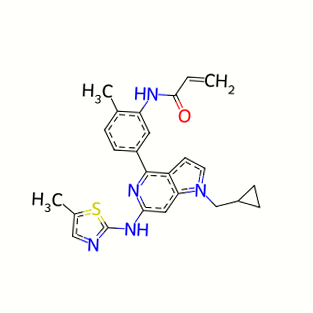 C=CC(=O)Nc1cc(-c2nc(Nc3ncc(C)s3)cc3c2ccn3CC2CC2)ccc1C